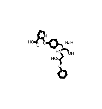 O=C(O)c1cccnc1Oc1ccc(C[C@@H](CO)NC[C@H](O)COc2ccccc2)cc1.[NaH]